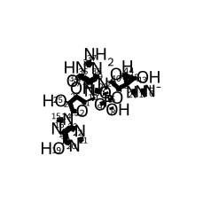 [N-]=[N+]=NC12C(OP(=O)(O)OC[C@H]3O[C@@H](n4cnc5c(O)ncnc54)[C@H](O)[C@@H]3O)[C@H](n3cnc4c(=O)[nH]c(N)nc43)O[C@@H]1C2O